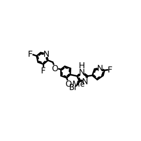 COc1cc(OCc2ncc(F)cc2F)ccc1-c1[nH]c(-c2ccc(F)nc2)nc1Br